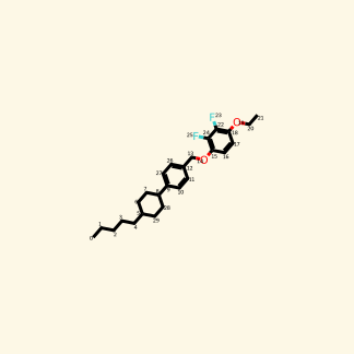 CCCCCC1CCC(c2ccc(COc3ccc(OCC)c(F)c3F)cc2)CC1